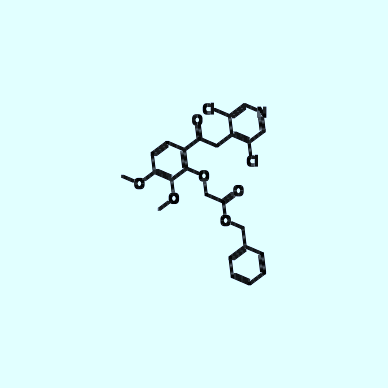 COc1ccc(C(=O)Cc2c(Cl)cncc2Cl)c(OCC(=O)OCc2ccccc2)c1OC